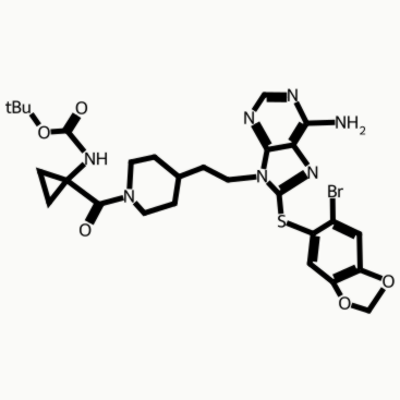 CC(C)(C)OC(=O)NC1(C(=O)N2CCC(CCn3c(Sc4cc5c(cc4Br)OCO5)nc4c(N)ncnc43)CC2)CC1